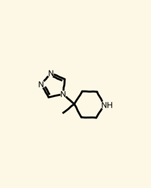 CC1(n2cnnc2)CCNCC1